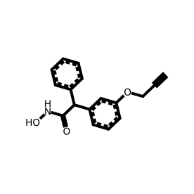 C#CCOc1cccc(C(C(=O)NO)c2ccccc2)c1